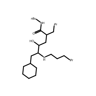 CCCCNC(=O)C(CC(C)C)CC(O)C(CC1CCCCC1)NCCCC(C)C